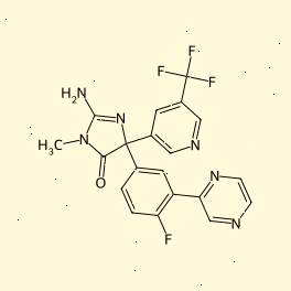 CN1C(=O)C(c2cncc(C(F)(F)F)c2)(c2ccc(F)c(-c3cnccn3)c2)N=C1N